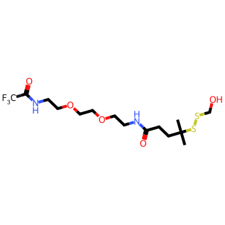 CC(C)(CCC(=O)NCCOCCOCCNC(=O)C(F)(F)F)SSCO